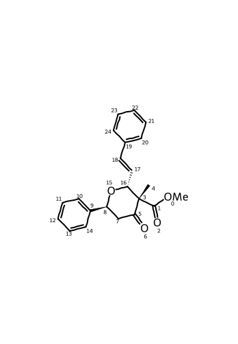 COC(=O)[C@]1(C)C(=O)C[C@@H](c2ccccc2)O[C@@H]1/C=C/c1ccccc1